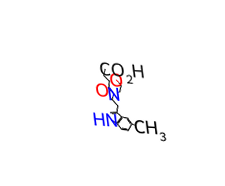 Cc1ccc2[nH]cc(CCN3CCOC(CC(=O)O)C3=O)c2c1